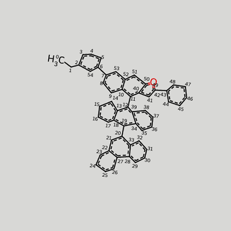 CCc1cccc(-c2ccc3c(-c4c5ccccc5c(-c5cc6ccccc6c6ccccc56)c5ccccc45)c4cc(-c5ccccc5)oc4cc3c2)c1